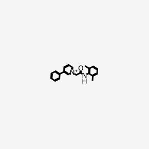 Cc1cccc(C)c1NC(=O)C[n+]1cccc(-c2ccccc2)c1